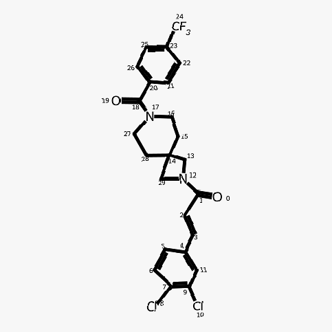 O=C(C=Cc1ccc(Cl)c(Cl)c1)N1CC2(CCN(C(=O)c3ccc(C(F)(F)F)cc3)CC2)C1